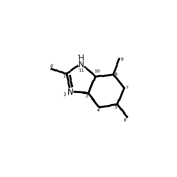 CC1=NC2CC(C)CC(C)C2N1